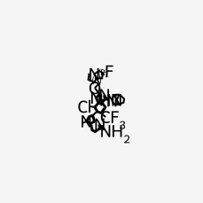 Cn1cc(-c2c(C(F)(F)F)cc3c(N4CC5CCC(C4)N5)nc(OC[C@@]45CCCN4C[C@H](F)C5)nc3c2Cl)c2nc(N)ccc21